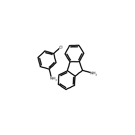 NC1c2ccccc2-c2ccccc21.Nc1cccc(Cl)c1